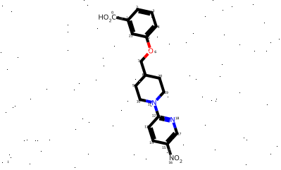 O=C(O)c1cccc(OCC2CCN(c3ccc([N+](=O)[O-])cn3)CC2)c1